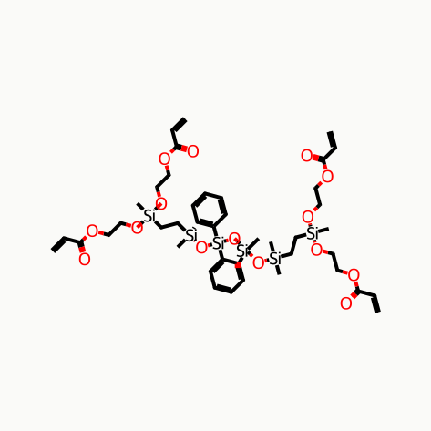 C=CC(=O)OCCO[Si](C)(CC[Si](C)(C)O[Si](C)(C)O[Si](O[Si](C)(C)CC[Si](C)(OCCOC(=O)C=C)OCCOC(=O)C=C)(c1ccccc1)c1ccccc1)OCCOC(=O)C=C